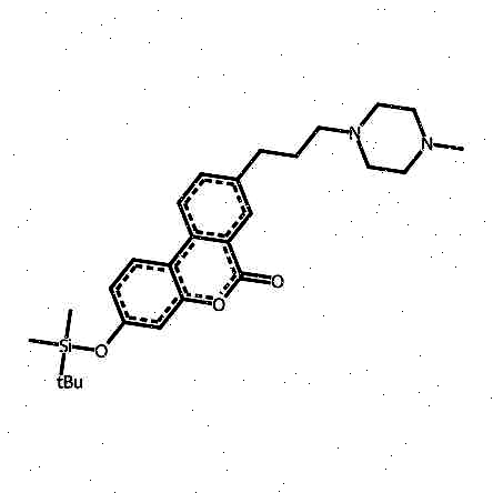 CN1CCN(CCCc2ccc3c(c2)c(=O)oc2cc(O[Si](C)(C)C(C)(C)C)ccc23)CC1